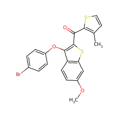 COc1ccc2c(Oc3ccc(Br)cc3)c(C(=O)c3sccc3C)sc2c1